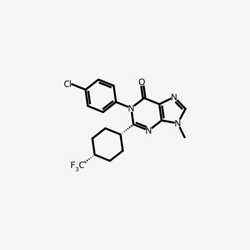 Cn1cnc2c(=O)n(-c3ccc(Cl)cc3)c([C@H]3CC[C@@H](C(F)(F)F)CC3)nc21